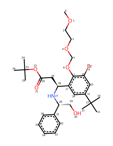 COCCOCOc1c(Br)cc(C(C)(C)C)cc1[C@H](CC(=O)OC(C)(C)C)N[C@H](CO)c1ccccc1